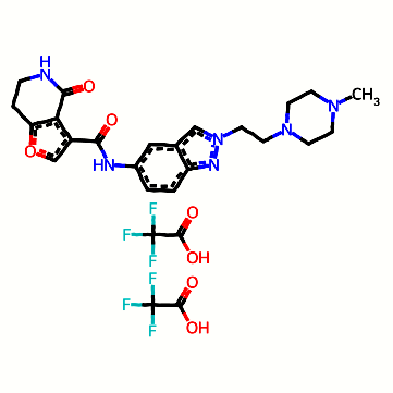 CN1CCN(CCn2cc3cc(NC(=O)c4coc5c4C(=O)NCC5)ccc3n2)CC1.O=C(O)C(F)(F)F.O=C(O)C(F)(F)F